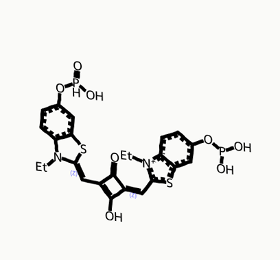 CCN1/C(=C/C2=C(O)C(=C/c3sc4cc(OP(O)O)ccc4[n+]3CC)/C2=O)Sc2cc(O[PH](=O)O)ccc21